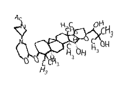 CC(=O)N1CC(N2CCOC(OC3CCC45CC46CCC4(C)[C@@H]7C(OC(C(O)C(C)(C)O)C[C@H]7C)[C@H](O)[C@@]4(C)C6CC[C@H]5C3(C)C)C2)C1